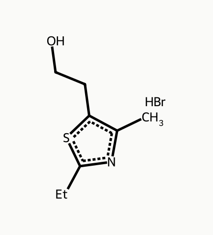 Br.CCc1nc(C)c(CCO)s1